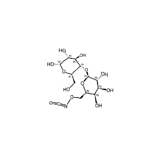 O=C=NOC[C@H]1O[C@@H](O[C@H]2[C@H](O)[C@@H](O)[C@@H](O)O[C@@H]2CO)[C@H](O)[C@@H](O)[C@H]1O